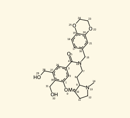 COc1cc(C(=O)N(CCC2CCCN2C)Cc2ccc3c(c2)OCCO3)cc(CO)c1CO